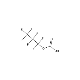 O=C(O)OC(F)(F)C(F)(F)C(F)(F)F